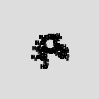 CC[C@H]1OC(=O)[C@H](C)[C@@H](O[C@H]2C[C@@](C)(OC)[C@@H](O)[C@H](C)O2)[C@H](C)[C@@H](O[C@@H]2O[C@H](C)C[C@H](N(C)C)[C@H]2OCCCCO)[C@@](C)(OC)C[C@@H](C)C(=O)[C@H](C)[C@@H](O)[C@]1(C)O